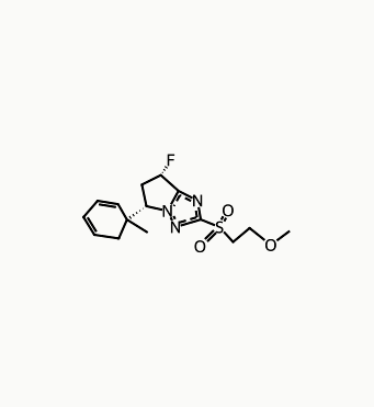 COCCS(=O)(=O)c1nc2n(n1)[C@H](C1(C)C=CC=CC1)C[C@@H]2F